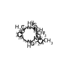 Cc1ccc(C[C@H]2NC(=O)[C@@H](C)N(C)C(=O)[C@@H](C3CC3)NC[C@H](C)Oc3ccccc3CCCNC2=O)cc1